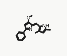 COC1=CC(c2ccccc2)=NC1=Cc1[nH]c(C)cc1C